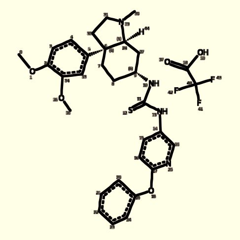 COc1ccc([C@@]23CC[C@@H](NC(=S)Nc4ccc(Oc5ccccc5)nc4)C[C@@H]2N(C)CC3)cc1OC.O=C(O)C(F)(F)F